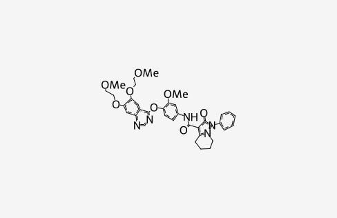 COCCOc1cc2ncnc(Oc3ccc(NC(=O)c4c5n(n(-c6ccccc6)c4=O)CCCC5)cc3OC)c2cc1OCCOC